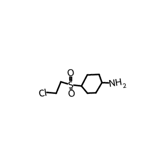 NC1CCC(S(=O)(=O)CCCl)CC1